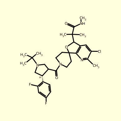 CNC(=O)C(C)(C)C1OC2(CCN(C(=O)C3CN(C(C)(C)C)C[C@H]3c3ccc(F)cc3F)CC2)c2nc(C)c(Cl)cc21